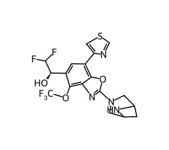 O[C@H](c1cc(-c2cscn2)c2oc(N3CC4CC(C3)N4)nc2c1OC(F)(F)F)C(F)F